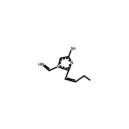 CC/C=C\c1nc(S)cn1C=N